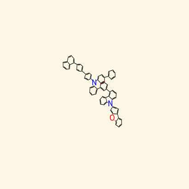 c1ccc(-c2ccc(N(c3ccc(-c4ccc(-c5cccc6ccccc56)cc4)cc3)c3ccccc3-c3cccc(-c4cccc5c4c4ccccc4n5-c4ccc5c(c4)oc4ccccc45)c3)cc2)cc1